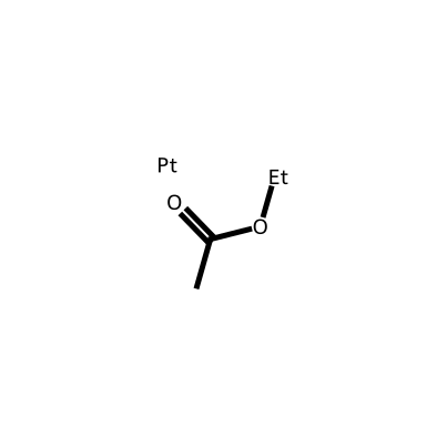 CCOC(C)=O.[Pt]